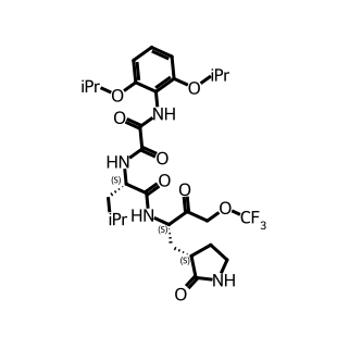 CC(C)C[C@H](NC(=O)C(=O)Nc1c(OC(C)C)cccc1OC(C)C)C(=O)N[C@@H](C[C@@H]1CCNC1=O)C(=O)COC(F)(F)F